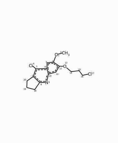 COc1cc2c(Cl)c3c(nc2cc1OCCCCl)CCC3